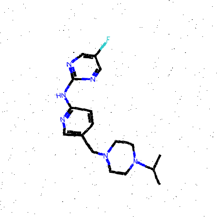 CC(C)N1CCN(Cc2ccc(Nc3ncc(F)cn3)nc2)CC1